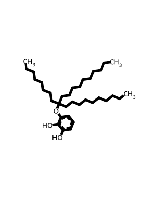 CCCCCCCCCCC(CCCCCCCC)(CCCCCCCCCC)Oc1cccc(O)c1O